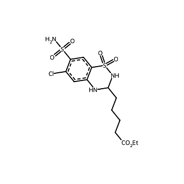 CCOC(=O)CCCCC1Nc2cc(Cl)c(S(N)(=O)=O)cc2S(=O)(=O)N1